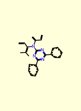 C=CC(=C)N(C(C=C)=C(C)C)c1nc(-c2ccccc2)nc(-c2ccccc2)n1